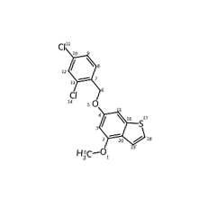 COc1cc(OCc2ccc(Cl)cc2Cl)cc2sc[c]c12